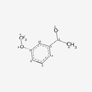 CC([O])c1cccc(OC(F)(F)F)c1